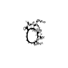 CCCCCCCC1CCCCCC(C(=O)N(C)C)C[C@H](C(=O)N(C)OC)NC(=O)[C@H](CC(C)C)NC1=O